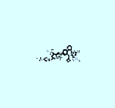 CN1CNN(C2CC=CC2)C1[C@@H](c1cccc(-n2cc3c(C(F)(F)F)cc(CN4CC(C(F)(F)F)C4)cn3c2=O)c1)C1CCC1